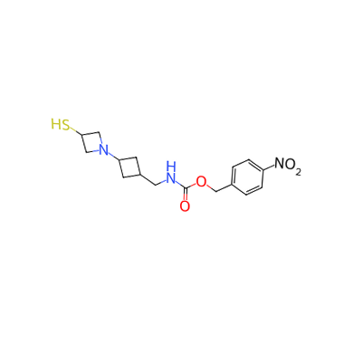 O=C(NCC1CC(N2CC(S)C2)C1)OCc1ccc([N+](=O)[O-])cc1